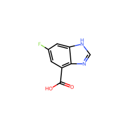 O=C(O)c1cc(F)cc2[nH]cnc12